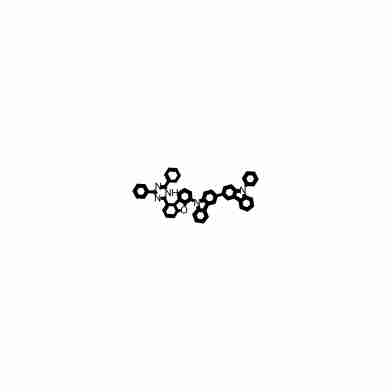 C1=CCCC(C2=NC(c3ccccc3)=NC(C3=CC=CC4Oc5c(cccc5-n5c6ccccc6c6cc(-c7ccc8c(c7)c7ccccc7n8-c7ccccc7)ccc65)C34)N2)=C1